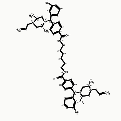 C=CCN1C[C@@H](C)N([C@H](c2ccc(C(=O)NCCCCCCNC(=O)c3ccc([C@H](c4cccc(O)c4)N4C[C@H](C)N(CC=C)C[C@H]4C)cc3)cc2)c2cccc(O)c2)C[C@@H]1C